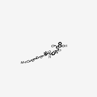 COCCOCCOCCOCCn1cc(C(=O)Nc2ccc3nc(C(=O)N4C[C@@H](CCl)c5c4cc(O)c4ccccc54)cn3c2)nn1